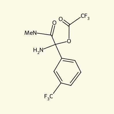 CNC(=O)C(N)(OC(=O)C(F)(F)F)c1cccc(C(F)(F)F)c1